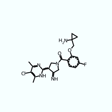 CC1=N/C(=C2\CN(C(=O)c3ccc(F)cc3OCC3(N)CC3)CC2=N)NC(C)=C1Cl